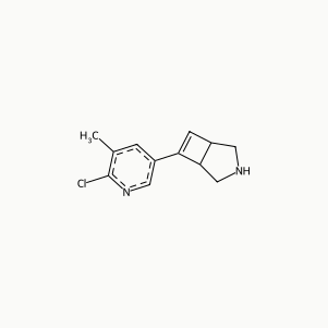 Cc1cc(C2=CC3CNCC23)cnc1Cl